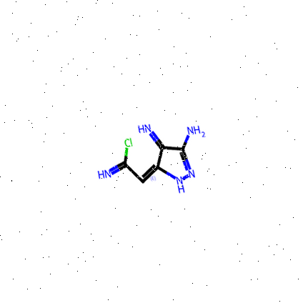 N=C(Cl)/C=C1/NN=C(N)C1=N